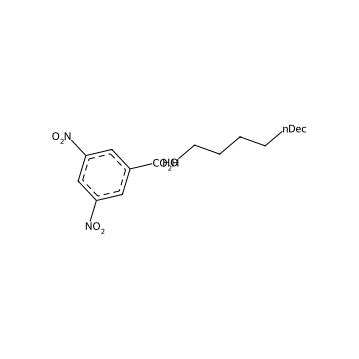 CCCCCCCCCCCCCCO.O=C(O)c1cc([N+](=O)[O-])cc([N+](=O)[O-])c1